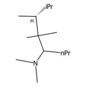 CCCC(N(C)C)C(C)(C)[C@H](C)C(C)C